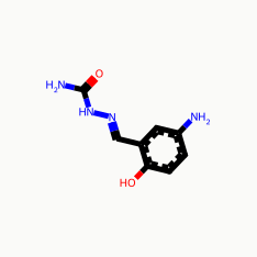 NC(=O)NN=Cc1cc(N)ccc1O